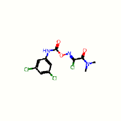 CN(C)C(=O)C(Cl)=NOC(=O)Nc1cc(Cl)cc(Cl)c1